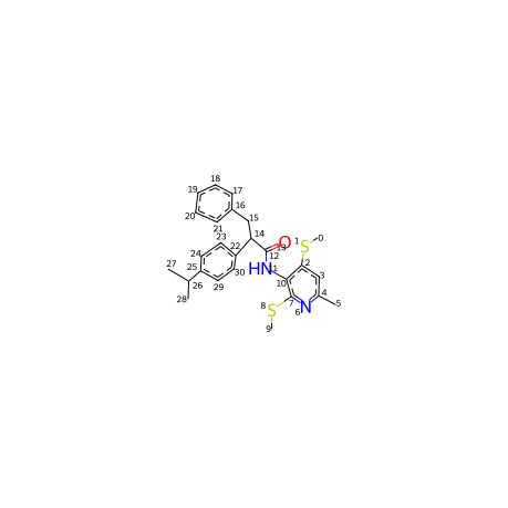 CSc1cc(C)nc(SC)c1NC(=O)C(Cc1ccccc1)c1ccc(C(C)C)cc1